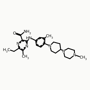 CCc1nc(C(N)=O)c(Nc2ccc(N3CCC(N4CCN(C)CC4)CC3)c(C)c2)nc1C